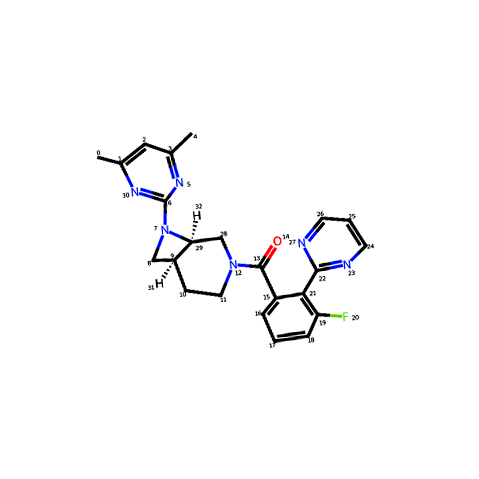 Cc1cc(C)nc(N2C[C@@H]3CCN(C(=O)c4cccc(F)c4-c4ncccn4)C[C@@H]32)n1